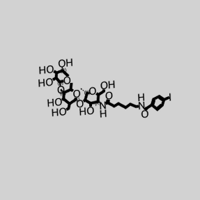 CC1O[C@@H](OC2C(O)[C@@H](NC(=O)CCCCCNC(=O)c3ccc(I)cc3)C(CO)O[C@H]2C)C(CO)C(O)[C@H]1O[C@@H]1OC[C@@H](O)C(O)C1O